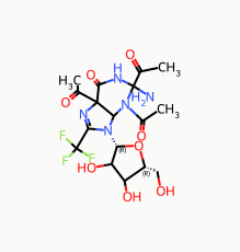 CC(=O)N1C2N([C@@H]3O[C@H](CO)C(O)C3O)C(C(F)(F)F)=NC2(C(C)=O)C(=O)NC1(N)C(C)=O